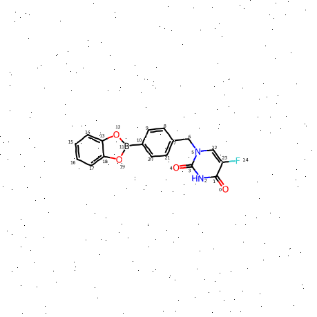 O=c1[nH]c(=O)n(Cc2ccc(B3Oc4ccccc4O3)cc2)cc1F